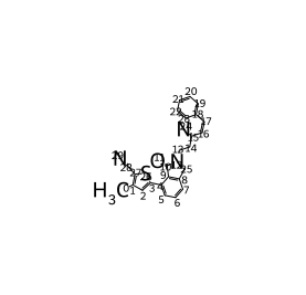 Cc1cc(-c2cccc3c2C(=O)N(CCc2ccc4ccccc4n2)C3)sc1C#N